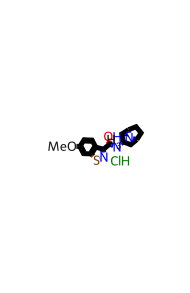 COc1ccc2c(C(=O)NC3CC4CCC(C3)N4C)nsc2c1.Cl